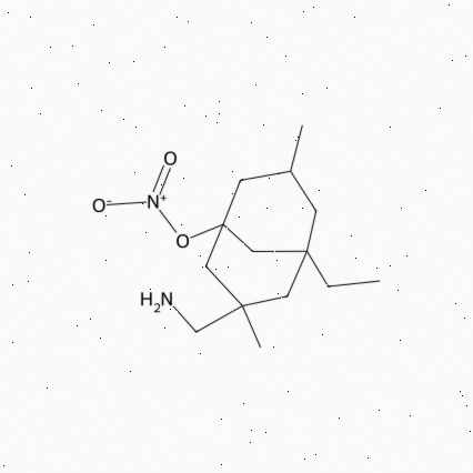 CCC12CC(C)CC(O[N+](=O)[O-])(CC(C)(CN)C1)C2